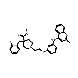 COC(=O)C1(Cc2ccccc2Cl)CCN(CCOc2cccc(Nc3cc(C)nc4ccccc34)c2)CC1